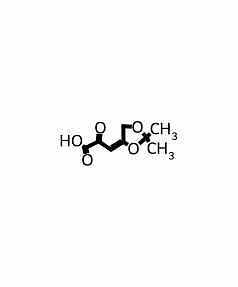 CC1(C)OCC(=CC(=O)C(=O)O)O1